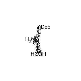 CCCCCCCCCCCCCCCCCCN(CCCSc1ccc(O)c(O)c1)C(=O)C(N)=O